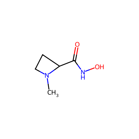 CN1CCC1C(=O)NO